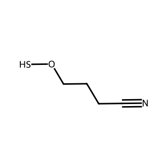 N#CCCCOS